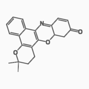 CC1(C)CCc2c3c(c4ccccc4c2O1)N=C1C=CC(=O)CC1O3